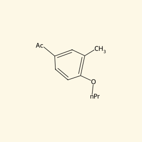 CCCOc1ccc(C(C)=O)cc1C